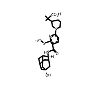 CCCSc1nc(N2CCCC(C(C)(C)C(=O)O)C2)ccc1C(=O)N[C@H]1C2CC3CC1C[C@](O)(C3)C2